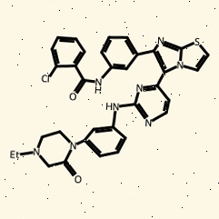 CCN1CCN(c2cccc(Nc3nccc(-c4c(-c5cccc(NC(=O)c6ccccc6Cl)c5)nc5sccn45)n3)c2)C(=O)C1